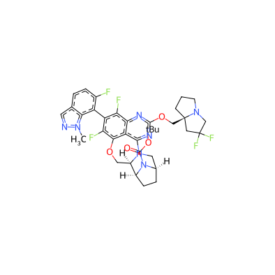 Cn1ncc2ccc(F)c(-c3c(F)c4c5c(nc(OC[C@@]67CCCN6CC(F)(F)C7)nc5c3F)N3C[C@H]5CC[C@@H]([C@H]3CO4)N5C(=O)OC(C)(C)C)c21